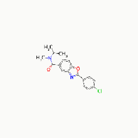 CC(C)N(C)C(=O)c1ccc2oc(-c3ccc(Cl)cc3)nc2c1